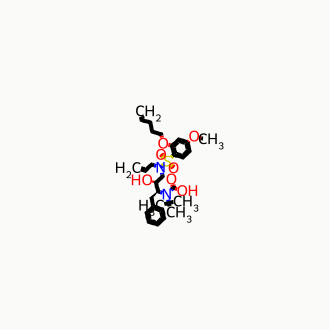 C=CCCCOc1cc(OC)ccc1S(=O)(=O)N(CC=C)C[C@H](O)[C@H](Cc1ccccc1)N(C(=O)O)C(C)(C)C